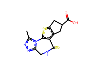 Cc1nnc2n1-c1sc3c(c1C(=S)NC2)CC(C(=O)O)C3